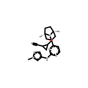 Cn1cc(Nc2nccc(N3C[C@H]4CC[C@@H](C3)N4CC3CC3C#N)n2)cn1